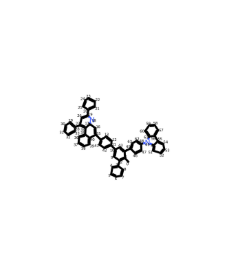 Cc1c(-c2ccccc2)cc(-c2ccc(-c3cc4nc(-c5ccccc5)cc(-c5ccccc5)c4c4ccccc34)cc2)cc1-c1ccc(-n2c3ccccc3c3ccccc32)cc1